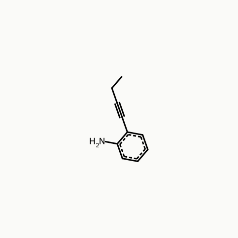 CCC#Cc1ccccc1N